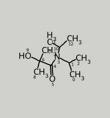 CC(C)N(C(=O)C(C)(C)O)C(C)C